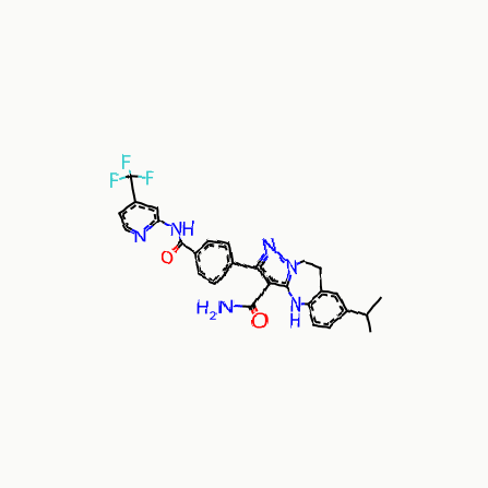 CC(C)c1ccc2c(c1)CCn1nc(-c3ccc(C(=O)Nc4cc(C(F)(F)F)ccn4)cc3)c(C(N)=O)c1N2